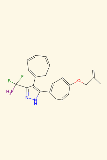 C=C(C)COC1=CC=C(c2[nH]nc(C(F)(F)P)c2C2=CC=CC=CC2)CC=C1